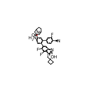 N#Cc1ccc(-c2cc(C(=O)N3C4CCC3CC(N)C4)ccc2-c2cc3nnn(CC4(O)CCC4)c3c(F)c2F)cc1F